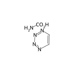 NC(=O)O.c1cnnnn1